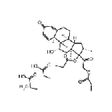 CCC(=O)O.CCC(=O)O.CCC(=O)OCC(=O)[C@@]1(OC(=O)CC)[C@@H](C)C[C@H]2[C@@H]3CCC4=CC(=O)C=C[C@]4(C)C3(F)[C@@H](O)C[C@@]21C.O